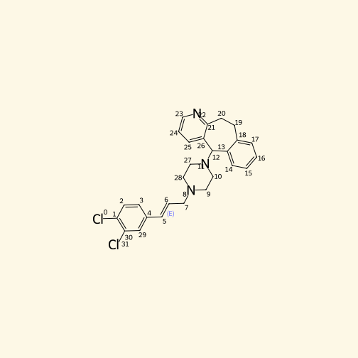 Clc1ccc(/C=C/CN2CCN(C3c4ccccc4CCc4ncccc43)CC2)cc1Cl